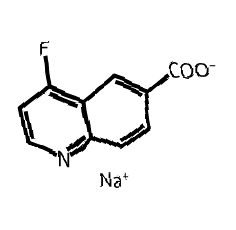 O=C([O-])c1ccc2nccc(F)c2c1.[Na+]